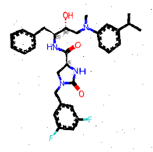 CC(C)c1cccc(N(C)C[C@@H](O)[C@H](Cc2ccccc2)NC(=O)[C@@H]2CN(Cc3cc(F)cc(F)c3)C(=O)N2)c1